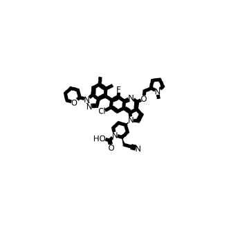 Cc1cc2c(cnn2C2CCCCO2)c(-c2c(Cl)cc3c(nc(OCC4CCCN4C)c4ccn([C@H]5CCN(C(=O)O)[C@H](CC#N)C5)c43)c2F)c1C